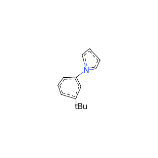 CC(C)(C)c1cccc(-n2cccc2)c1